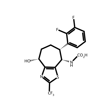 O=C(O)N[C@@H]1c2sc(C(F)(F)F)nc2[C@H](O)CC[C@@H]1c1cccc(F)c1F